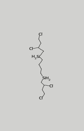 ClCCC(Cl)C[SiH2]CCCC[SiH2]CC(Cl)CCCl